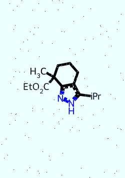 CCOC(=O)C1(C)CCCc2c1n[nH]c2C(C)C